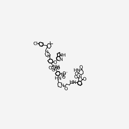 CC1(C)CCC(CN2CCN(c3ccc(C(=O)NS(=O)(=O)c4ccc(NCC5CCCN(C(=O)CCCCNc6cccc7c6C(=O)N(C6CCC(=O)NC6=O)C7=O)C5)c([N+](=O)[O-])c4)c(Oc4cnc5[nH]ccc5c4)c3)CC2)=C(c2ccc(Cl)cc2)C1